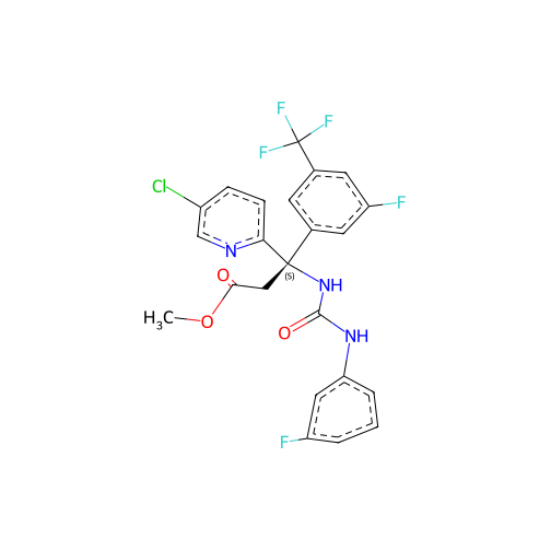 COC(=O)C[C@](NC(=O)Nc1cccc(F)c1)(c1cc(F)cc(C(F)(F)F)c1)c1ccc(Cl)cn1